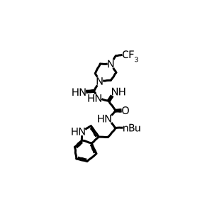 CCCCC(Cc1c[nH]c2ccccc12)NC(=O)C(=N)NC(=N)N1CCN(CC(F)(F)F)CC1